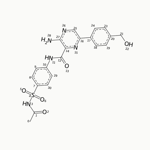 CC(=O)NS(=O)(=O)c1ccc(NC(=O)c2nc(-c3ccc(CO)cc3)cnc2N)cc1